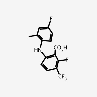 Cc1cc(F)ccc1Nc1ccc(C(F)(F)F)c(F)c1C(=O)O